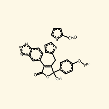 CCCOc1ccc(C2(O)OC(=O)C(c3ccc4nsnc4c3)=C2Cc2cccs2)cc1.O=Cc1cccs1